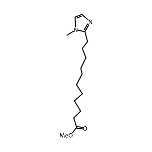 COC(=O)CCCCCCCCCCc1nccn1C